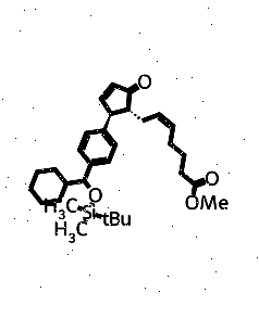 COC(=O)CCC/C=C\C[C@H]1C(=O)C=C[C@@H]1c1ccc(C(O[Si](C)(C)C(C)(C)C)C2CCCCC2)cc1